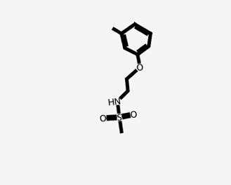 Cc1[c]ccc(OCCNS(C)(=O)=O)c1